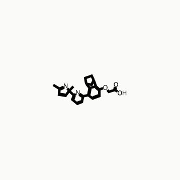 CC1=NC(C)(c2cccc(-c3ccc(OCC(=O)O)c4c3C3CCC4C3)n2)C=C1